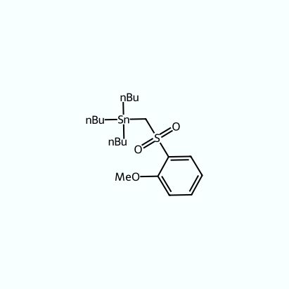 CCC[CH2][Sn]([CH2]CCC)([CH2]CCC)[CH2]S(=O)(=O)c1ccccc1OC